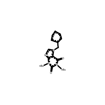 CCCCn1c(=O)c2c(ncn2Cc2ccccc2)n(CCCC)c1=O